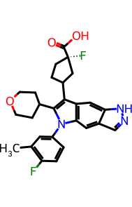 Cc1cc(-n2c(C3CCOCC3)c(C3CC[C@@](F)(C(=O)O)C3)c3cc4[nH]ncc4cc32)ccc1F